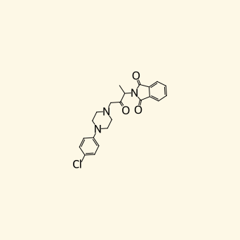 CC(C(=O)CN1CCN(c2ccc(Cl)cc2)CC1)N1C(=O)c2ccccc2C1=O